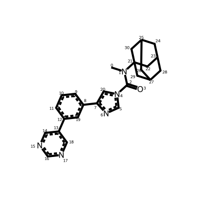 CN(C(=O)n1cnc(-c2cccc(-c3cncnc3)c2)c1)C12CC3CC(CC(C3)C1)C2